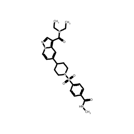 CCN(CC)C(=O)c1cnn2ccc(C3CCN(S(=O)(=O)c4ccc(C(=O)NC)cc4)CC3)cc12